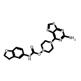 Nc1nc(N2CCN(OC(=O)Nc3ccc4c(c3)CCO4)CC2)c2ncsc2n1